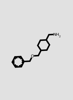 NCC1CCC(COCc2ccccc2)CC1